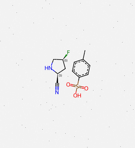 Cc1ccc(S(=O)(=O)O)cc1.N#C[C@@H]1C[C@H](F)CN1